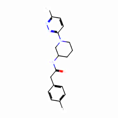 CC(C)c1ccc(CC(=O)NC2CCCN(c3ccc(C#N)nn3)C2)cc1